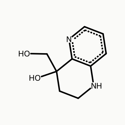 OCC1(O)CCNc2cccnc21